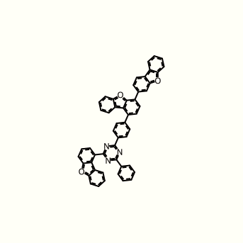 c1ccc(-c2nc(-c3ccc(-c4ccc(-c5ccc6c(c5)oc5ccccc56)c5oc6ccccc6c45)cc3)nc(-c3cccc4oc5ccccc5c34)n2)cc1